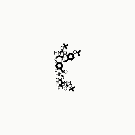 CC(C)Oc1ccc(CN2C(=O)[C@@H](NC(=O)OC(C)(C)C)CSc3cc(F)c(C(=O)NOC(=O)C(NC(=O)OC(C)(C)C)C(F)(F)F)cc32)cc1